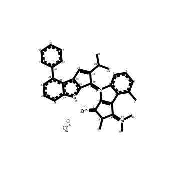 Cc1cccc2c1C1=C([C](=[Zr+2])C(C)C1=[Si](C)C)S2=C1C(C(C)C)=Cc2c1sc1cccc(-c3ccccc3)c21.[Cl-].[Cl-]